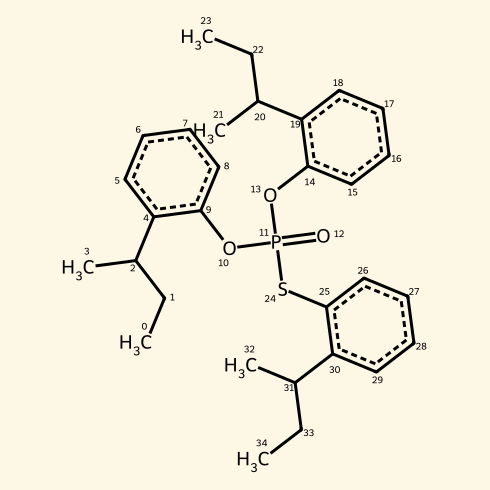 CCC(C)c1ccccc1OP(=O)(Oc1ccccc1C(C)CC)Sc1ccccc1C(C)CC